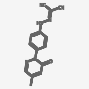 Cc1cnn(-c2ccc(NN=C(C#N)C#N)cc2)c(=O)c1